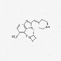 O=C(O)c1ccc2nc(C=C3CCNCC3)n(CC3CCO3)c2c1F